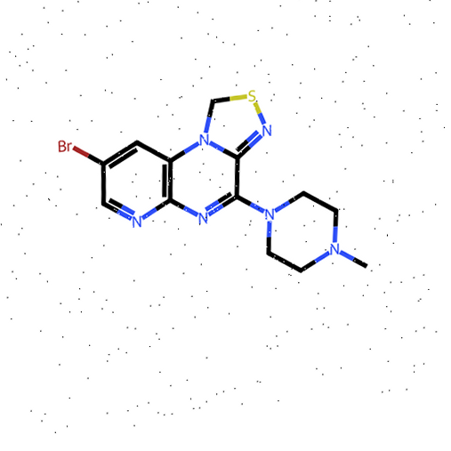 CN1CCN(C2=Nc3ncc(Br)cc3N3CSN=C23)CC1